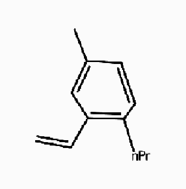 C=Cc1cc(C)ccc1CCC